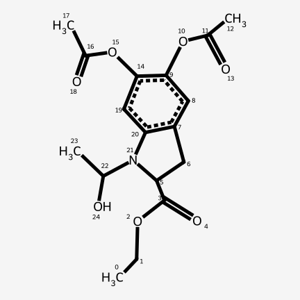 CCOC(=O)C1Cc2cc(OC(C)=O)c(OC(C)=O)cc2N1C(C)O